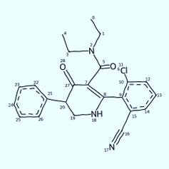 CCN(CC)C(=O)C1=C(c2c(Cl)cccc2C#N)NCC(c2ccccc2)C1=O